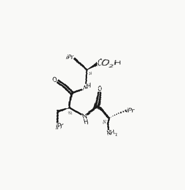 CC(C)C[C@H](NC(=O)[C@@H](N)C(C)C)C(=O)N[C@H](C(=O)O)C(C)C